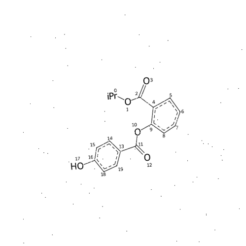 CC(C)OC(=O)c1ccccc1OC(=O)c1ccc(O)cc1